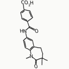 CN1C(=O)C(C)(C)CCc2cc(NC(=O)c3ccc(C(=O)O)cc3)ccc21